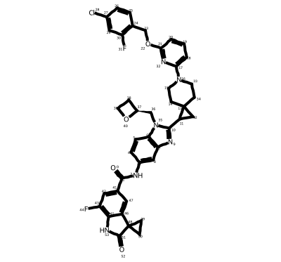 O=C(Nc1ccc2c(c1)nc(C1CC13CCN(c1cccc(OCc4ccc(Cl)cc4F)n1)CC3)n2C[C@@H]1CCO1)c1cc(F)c2c(c1)C1(CC1)C(=O)N2